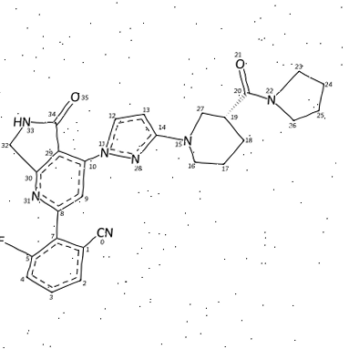 N#Cc1cccc(F)c1-c1cc(-n2ccc(N3CCC[C@@H](C(=O)N4CCCC4)C3)n2)c2c(n1)CNC2=O